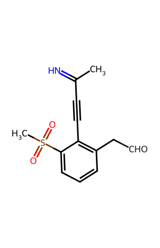 CC(=N)C#Cc1c(CC=O)cccc1S(C)(=O)=O